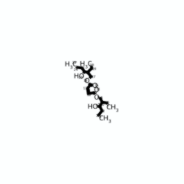 CCCC(O)C(CC)COC(=O)/C=C\C(=O)OCC(CC)C(O)CCC